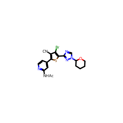 [C-]#[N+]c1c(-c2ccnc(NC(C)=O)c2)sc(-c2ncn(C3CCCCO3)n2)c1Br